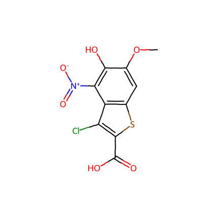 COc1cc2sc(C(=O)O)c(Cl)c2c([N+](=O)[O-])c1O